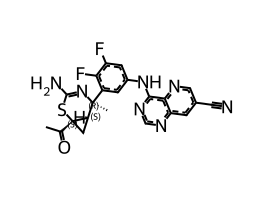 CC(=O)[C@]12C[C@H]1[C@](C)(c1cc(Nc3ncnc4cc(C#N)cnc34)cc(F)c1F)N=C(N)S2